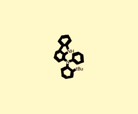 CC(C)(C)c1ccccc1N(c1ccccc1)c1cccc2c1[nH]c1ccccc12